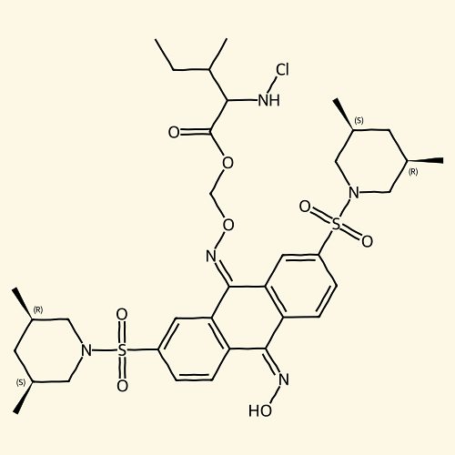 CCC(C)C(NCl)C(=O)OCON=C1c2cc(S(=O)(=O)N3C[C@H](C)C[C@H](C)C3)ccc2C(=NO)c2ccc(S(=O)(=O)N3C[C@H](C)C[C@H](C)C3)cc21